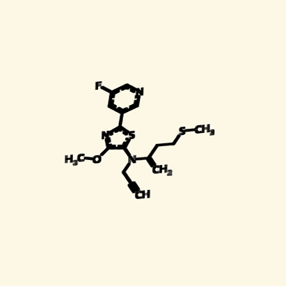 C#CCN(C(=C)CCSC)c1sc(-c2cncc(F)c2)nc1OC